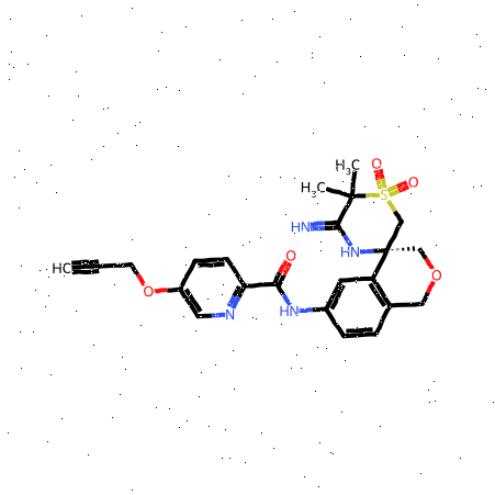 C#CCOc1ccc(C(=O)Nc2ccc3c(c2)[C@]2(COC3)CS(=O)(=O)C(C)(C)C(=N)N2)nc1